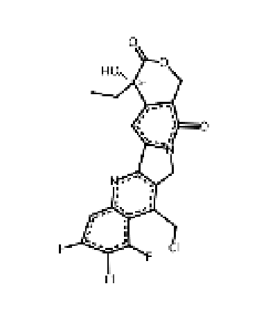 CC[C@@]1(O)C(=O)OCc2c1cc1n(c2=O)Cc2c-1nc1cc(F)c(Cl)c(F)c1c2CCl